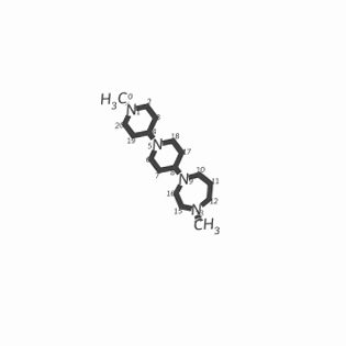 CN1CCC(N2CCC(N3CCCN(C)CC3)CC2)CC1